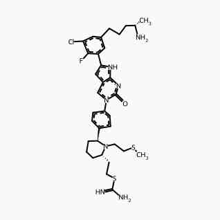 CSCCN1[C@H](CCSC(=N)N)CCC[C@H]1c1ccc(-n2cc3cc(-c4cc(CCC[C@H](C)N)cc(Cl)c4F)[nH]c3nc2=O)cc1